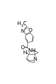 Cc1nc2cc(C(=O)N[C@H]3C4CCN(CC4)C34CC4)ccc2o1